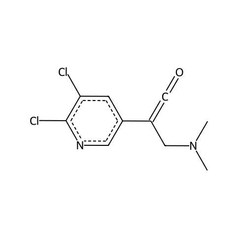 CN(C)CC(=C=O)c1cnc(Cl)c(Cl)c1